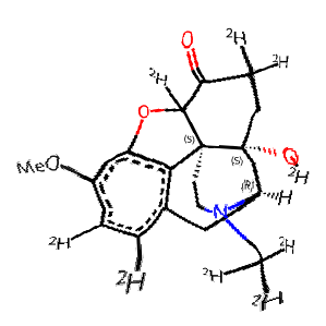 [2H]O[C@@]12CC([2H])([2H])C(=O)C3([2H])Oc4c(OC)c([2H])c([2H])c5c4[C@@]31CCN(C([2H])([2H])[2H])[C@@H]2C5